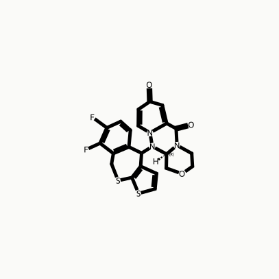 O=C1c2cc(=O)ccn2N(C2c3ccsc3SCc3c2ccc(F)c3F)[C@@H]2COCCN12